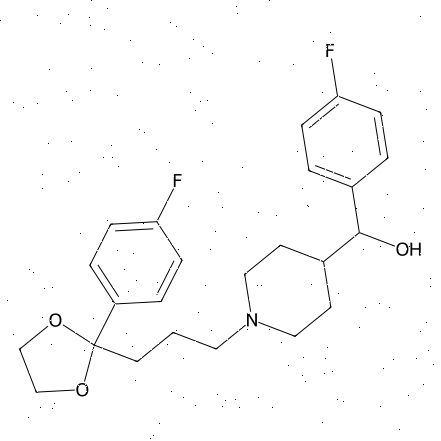 OC(c1ccc(F)cc1)C1CCN(CCCC2(c3ccc(F)cc3)OCCO2)CC1